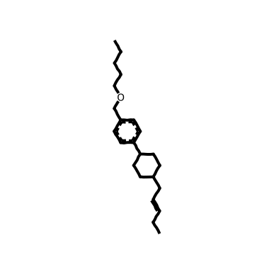 CC/C=C/CC1CCC(c2ccc(COCCCCC)cc2)CC1